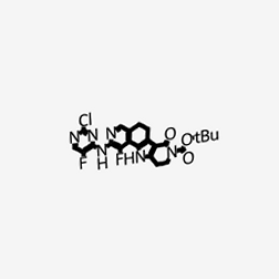 CC(C)(C)OC(=O)N1CCc2[nH]c3c(c2C1=O)CCc1cnc(Nc2nc(Cl)ncc2F)c(F)c1-3